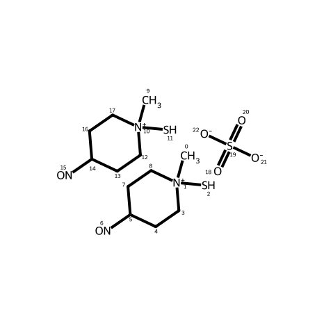 C[N+]1(S)CCC(N=O)CC1.C[N+]1(S)CCC(N=O)CC1.O=S(=O)([O-])[O-]